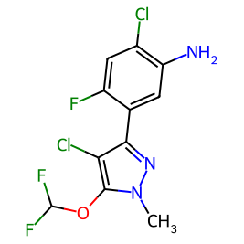 Cn1nc(-c2cc(N)c(Cl)cc2F)c(Cl)c1OC(F)F